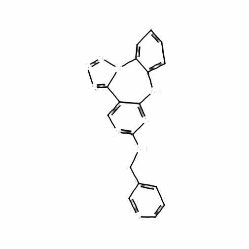 c1cncc(CNc2ncc3c(n2)Nc2ccccc2-n2nnnc2-3)c1